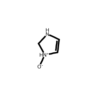 [O-][NH+]1C=CNC1